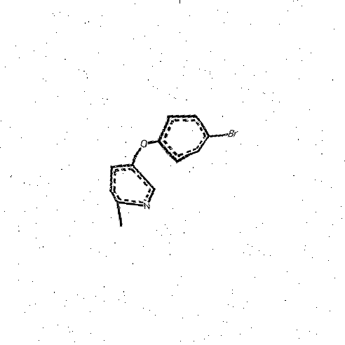 Cc1ccc(Oc2ccc(Br)cc2)cn1